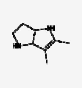 CC1=C(C)C2NCCC2N1